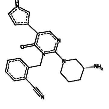 N#Cc1ccccc1Cn1c(N2CCC[C@@H](N)C2)ncc(-c2cc[nH]c2)c1=O